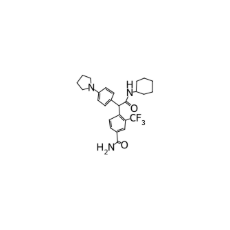 NC(=O)c1ccc(C(C(=O)NC2CCCCC2)c2ccc(N3CCCC3)cc2)c(C(F)(F)F)c1